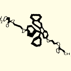 C=CC(=O)OCCOc1ccc(C2(c3ccccc3)c3cc(OCCOC(=O)C=C)ccc3-c3cc4ccccc4cc32)cc1